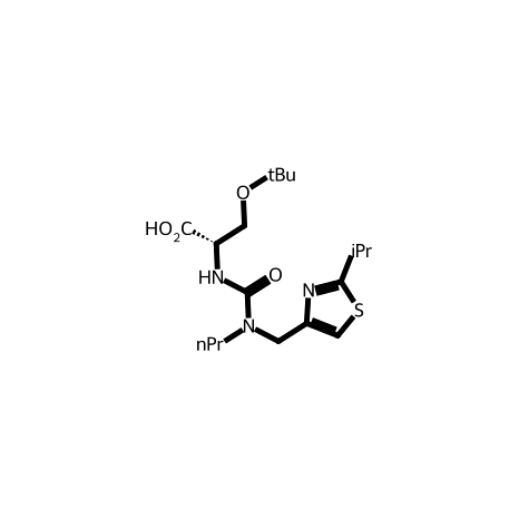 CCCN(Cc1csc(C(C)C)n1)C(=O)N[C@@H](COC(C)(C)C)C(=O)O